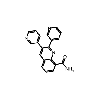 NC(=O)c1cccc2cc(-c3cccnc3)c(-c3cccnc3)nc12